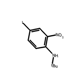 CC(C)(C)Nc1ccc(I)cc1[N+](=O)[O-]